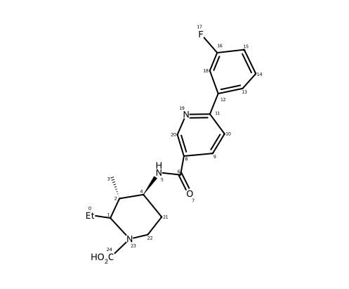 CCC1[C@H](C)[C@@H](NC(=O)c2ccc(-c3cccc(F)c3)nc2)CCN1C(=O)O